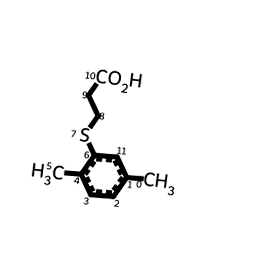 Cc1ccc(C)c(SCCC(=O)O)c1